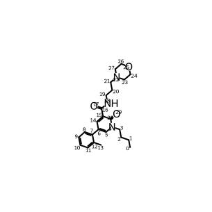 CCCCn1cc(-c2ccccc2C)cc(C(=O)NCCCN2CCOCC2)c1=O